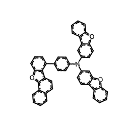 c1ccc2c(c1)ccc1c2oc2cccc(-c3ccc(N(c4ccc5c(c4)oc4ccccc45)c4ccc5oc6ccccc6c5c4)cc3)c21